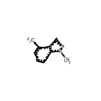 Cn1n[c]c2c(C(F)(F)F)cccc21